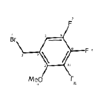 COc1c(CBr)cc(F)c(F)c1F